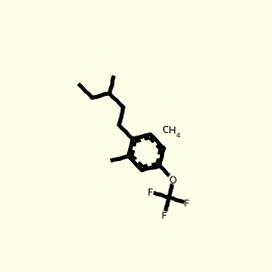 C.CCC(C)CCc1ccc(OC(F)(F)F)cc1C